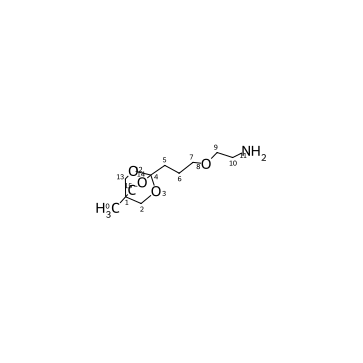 CC12COC(CCCOCCN)(OC1)OC2